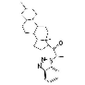 CC1CCC2C(CCC3C2CCC2(C)C(C(=O)C(C)n4nnc5ccccc54)CCC32)C1